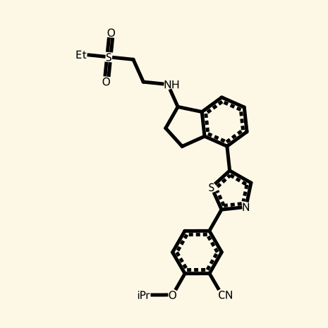 CCS(=O)(=O)CCNC1CCc2c(-c3cnc(-c4ccc(OC(C)C)c(C#N)c4)s3)cccc21